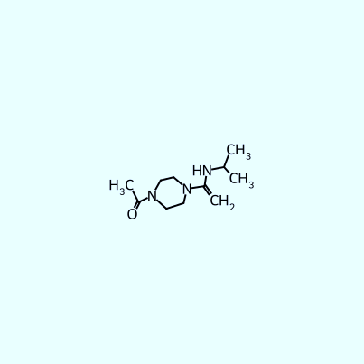 C=C(NC(C)C)N1CCN(C(C)=O)CC1